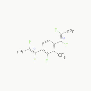 CCC/C(F)=C(\F)c1ccc(/C(F)=C(\F)CCC)c(C(F)(F)F)c1F